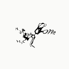 CC=CC(C)(C)C[C@@H]1NC[C@H](c2cc(OC)c3c(c2)OCO3)[C@H]1C(=O)O